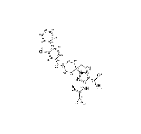 N#CCC1(n2cc(C(N)=O)c(NC(=O)C3CC3)n2)CCN(Cc2ccc(-c3ccccc3)c(Cl)c2)CC1